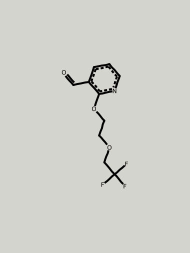 O=Cc1cccnc1OCCOCC(F)(F)F